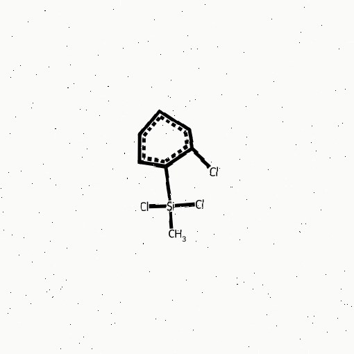 C[Si](Cl)(Cl)c1ccccc1Cl